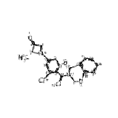 C[C@@H]1C(=O)CN1c1cc(Cl)c(C(=O)N2COc3ccccc3C2)c(Cl)c1